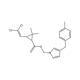 Cc1ccc(Cc2ccn(COC(=O)C3C(C=C(Cl)Cl)C3(C)C)c2)cc1